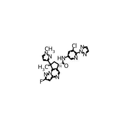 Cn1ccc([C@]2(C)C[C@H](C(=O)Nc3cnc(-n4nccn4)c(Cl)c3)c3cnc4cc(F)nn4c32)n1